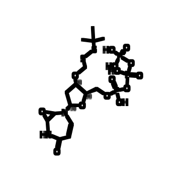 CC(C)(C)SSCO[C@@H]1C[C@H](N2C=CC(=O)NC3OC32)O[C@@H]1COP(=O)(O)OP(=O)(O)OP(=O)(O)O